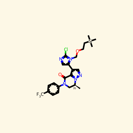 C[C@H]1CN(c2ccc(C(F)(F)F)cc2)C(=O)c2c(-c3cnc(Cl)n3COCC[Si](C)(C)C)cnn21